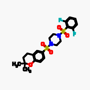 CC1(C)CCc2cc(S(=O)(=O)N3CCN(S(=O)(=O)c4c(F)cccc4F)CC3)ccc2O1